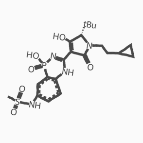 CC(C)(C)[C@H]1C(O)=C(C2=NP(=O)(O)c3cc(NS(C)(=O)=O)ccc3N2)C(=O)N1CCC1CC1